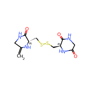 C=C1CNC(=O)[C@H](CSSC[C@@H]2NC(=O)CNC2=O)N1